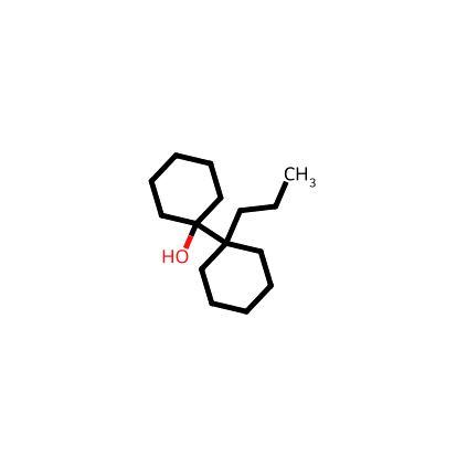 CCCC1(C2(O)CCCCC2)CCCCC1